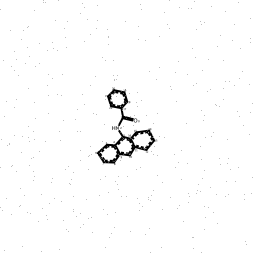 O=C(Nc1c2ccccc2cc2ccccc12)c1ccccc1